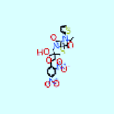 CC(=O)N(c1cccs1)[C@@H]1C(=O)N2CC(C=Cc3ccc([N+](=O)[O-])cc3[N+](=O)[O-])(C(=O)O)CS[C@H]12